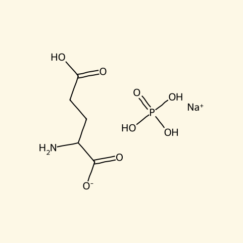 NC(CCC(=O)O)C(=O)[O-].O=P(O)(O)O.[Na+]